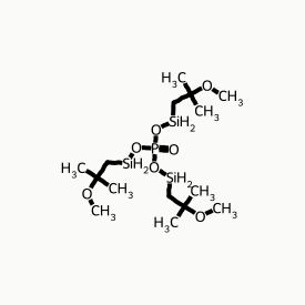 COC(C)(C)C[SiH2]OP(=O)(O[SiH2]CC(C)(C)OC)O[SiH2]CC(C)(C)OC